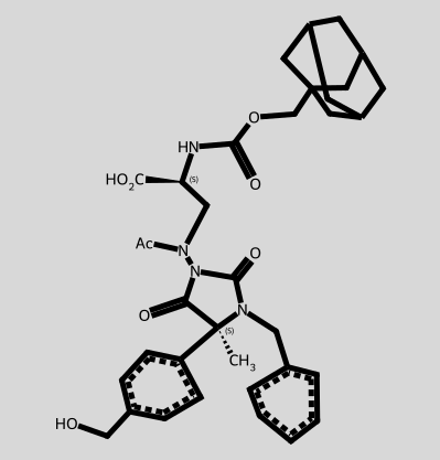 CC(=O)N(C[C@H](NC(=O)OCC12CC3CC(CC(C3)C1)C2)C(=O)O)N1C(=O)N(Cc2ccccc2)[C@@](C)(c2ccc(CO)cc2)C1=O